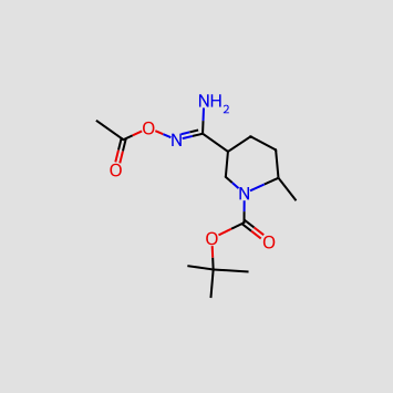 CC(=O)ON=C(N)C1CCC(C)N(C(=O)OC(C)(C)C)C1